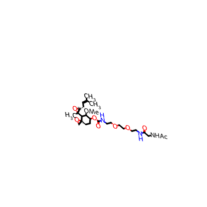 COC1C(OC(=O)NCCOCCOCCNC(=O)CNC(C)=O)CC[C@]2(CO2)C1C1(C)O[C@@H]1CC=C(C)C